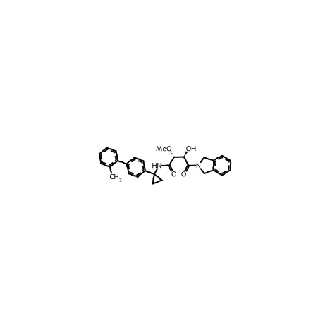 CO[C@@H](C(=O)NC1(c2ccc(-c3ccccc3C)cc2)CC1)[C@@H](O)C(=O)N1Cc2ccccc2C1